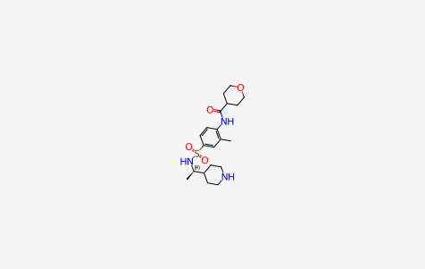 Cc1cc(S(=O)(=O)N[C@H](C)C2CCNCC2)ccc1NC(=O)C1CCOCC1